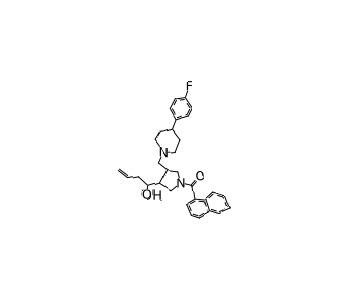 C=CCC(O)C1CN(C(=O)c2cccc3ccccc23)CC1CN1CCC(c2ccc(F)cc2)CC1